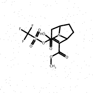 COC(=O)C1=C(OS(=O)(=O)C(F)(F)F)CC2CCC1N2C(=O)O